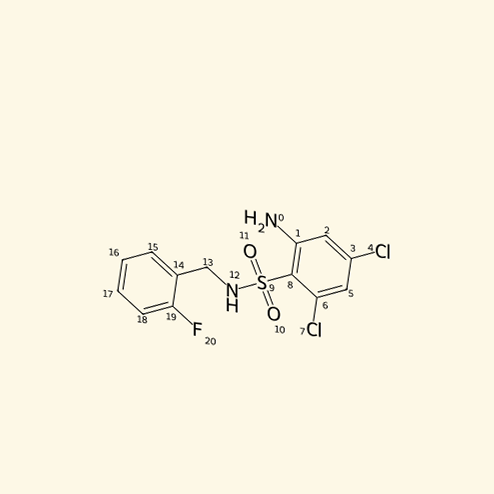 Nc1cc(Cl)cc(Cl)c1S(=O)(=O)NCc1ccccc1F